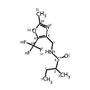 CCC(C)[S+]([O-])NCc1nc(C)oc1C(F)(F)F